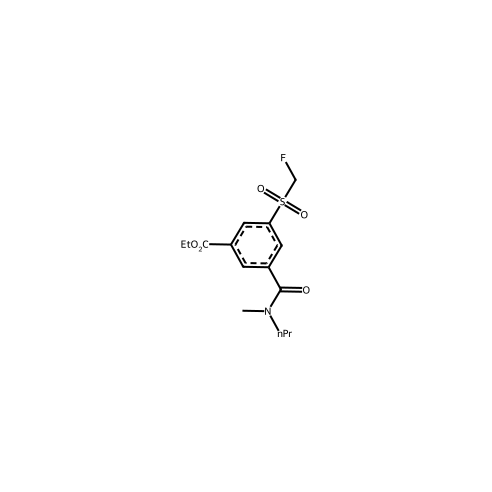 CCCN(C)C(=O)c1cc(C(=O)OCC)cc(S(=O)(=O)CF)c1